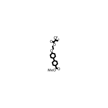 C=C(C(=O)OCCOC1CCC(C2CCC(C(=O)OC)CC2)CC1)C(F)(F)F